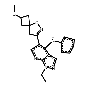 CCn1ncc2c(Nc3ccccc3)c(C3=NOC4(C3)CC(OC)C4)cnc21